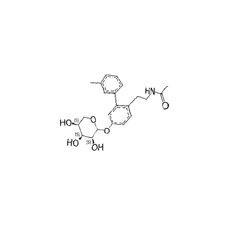 CC(=O)NCCc1ccc(OC2OC[C@H](O)[C@H](O)[C@@H]2O)cc1-c1cccc(C)c1